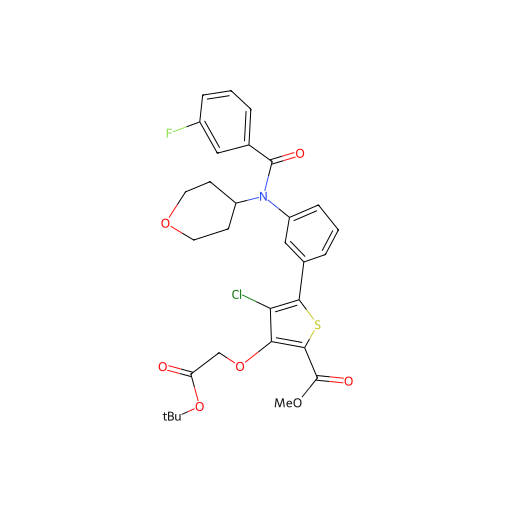 COC(=O)c1sc(-c2cccc(N(C(=O)c3cccc(F)c3)C3CCOCC3)c2)c(Cl)c1OCC(=O)OC(C)(C)C